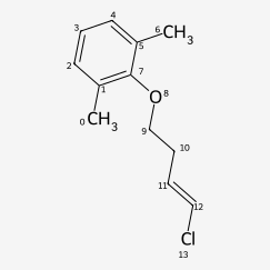 Cc1cccc(C)c1OCCC=CCl